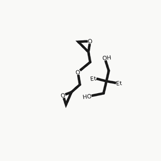 C(OCC1CO1)C1CO1.CCC(CC)(CO)CO